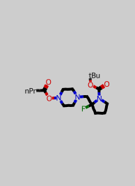 CCCC(=O)ON1CCN(CC2(F)CCCN2C(=O)OC(C)(C)C)CC1